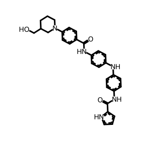 O=C(Nc1ccc(Nc2ccc(NC(=O)c3ccc[nH]3)cc2)cc1)c1ccc(N2CCCC(CO)C2)cc1